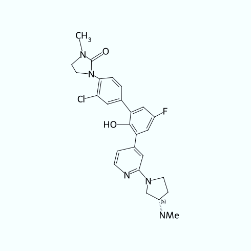 CN[C@H]1CCN(c2cc(-c3cc(F)cc(-c4ccc(N5CCN(C)C5=O)c(Cl)c4)c3O)ccn2)C1